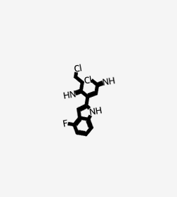 N=C(Cl)/C=C(\C(=N)CCCl)c1cc2c(F)cccc2[nH]1